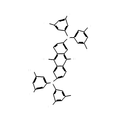 Cc1cc(C)cc(N(c2cc(C)cc(C)c2)c2ccc3c(C)c4cc(N(c5cc(C)cc(C)c5)c5cc(C)cc(C)c5)ccc4c(C)c3c2)c1